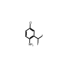 Nc1ccc(Cl)cc1C(F)F